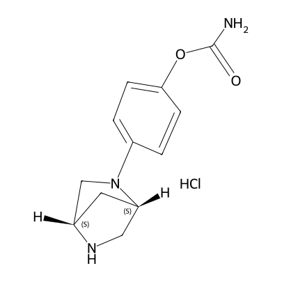 Cl.NC(=O)Oc1ccc(N2C[C@@H]3C[C@H]2CN3)cc1